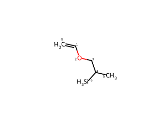 C=COCC(C)[SiH3]